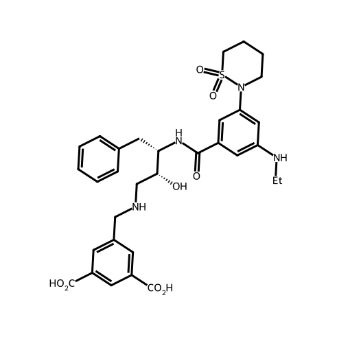 CCNc1cc(C(=O)N[C@@H](Cc2ccccc2)[C@H](O)CNCc2cc(C(=O)O)cc(C(=O)O)c2)cc(N2CCCCS2(=O)=O)c1